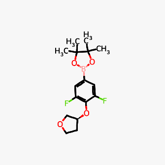 CC1(C)OB(c2cc(F)c(O[C@H]3CCOC3)c(F)c2)OC1(C)C